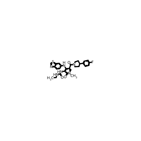 CCNC(=O)Nc1c(Nc2ccc3ncsc3c2)c(C(=O)N2CCC(c3ccc(F)cc3)CC2)cn(C)c1=O